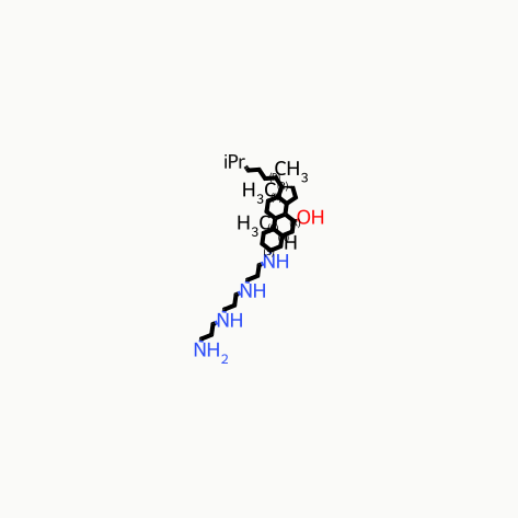 CC(C)CCC[C@@H](C)[C@H]1CCC2C3C(CC[C@@]21C)[C@@]1(C)CC[C@H](NCCCNCCCNCCCN)C[C@@H]1C[C@H]3O